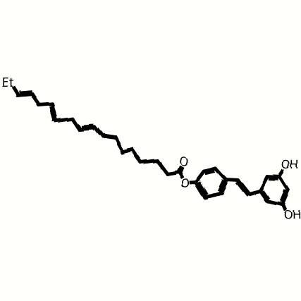 CCC=CCC=CCC=CCCCCCCCC(=O)Oc1ccc(C=Cc2cc(O)cc(O)c2)cc1